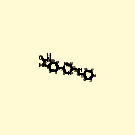 O=c1[nH]c2ccc(-c3cnc(NCc4ccccc4)cn3)cc2[nH]1